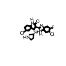 O=c1[nH]c2ccc(Cl)cc2c(N[C@@H]2CCNC2)c1-c1nc2cc(F)c(Cl)cc2[nH]1